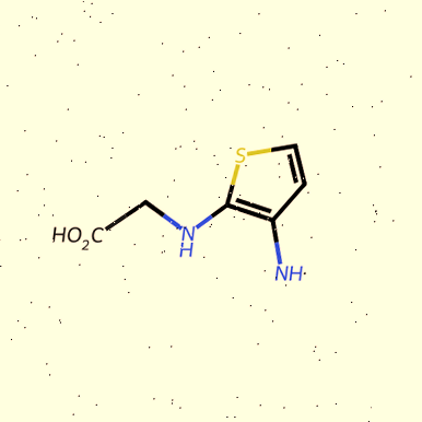 [NH]c1ccsc1NCC(=O)O